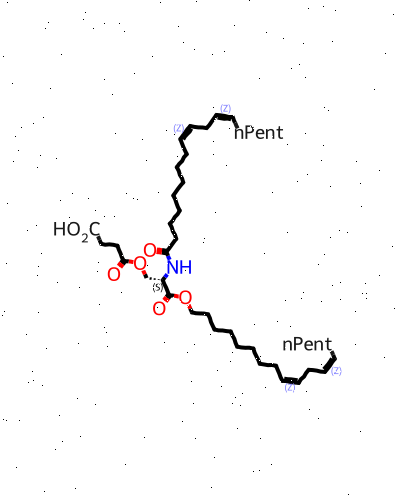 CCCCC/C=C\C/C=C\CCCCCCCCOC(=O)[C@H](COC(=O)CCC(=O)O)NC(=O)CCCCCCC/C=C\C/C=C\CCCCC